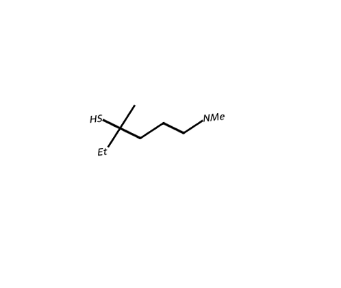 CCC(C)(S)CCCNC